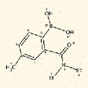 CCN(CC)C(=O)c1cc(C)ccc1B(O)O